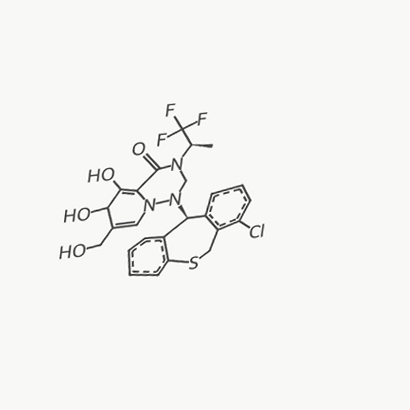 C[C@@H](N1CN([C@@H]2c3ccccc3SCc3c(Cl)cccc32)N2C=C(CO)C(O)C(O)=C2C1=O)C(F)(F)F